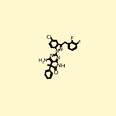 CC1(c2ccccc2)C(=O)Nc2nc(-n3nc(Cc4cccc(F)c4F)c4cc(Cl)ccc43)nc(N)c21